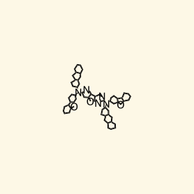 c1ccc2cc3cc(N(c4ccc5c(c4)oc4ccccc45)c4cc5oc6nc(N(c7ccc8cc9ccccc9cc8c7)c7ccc8c(c7)oc7ccccc78)ncc6c5cn4)ccc3cc2c1